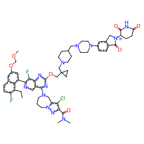 CCc1c(F)ccc2cc(OCOC)cc(-c3ncc4c(N5CCCn6nc(C(=O)N(C)C)c(Cl)c6C5)nc(OCC5(CN6CCC(CN7CCN(c8ccc9c(c8)CN([C@@H]8CCC(=O)NC8=O)C9=O)CC7)CC6)CC5)nc4c3F)c12